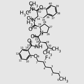 CCCCC[C@@H](F)COc1ccccc1C(=O)N[C@H](CC(C)C)C(=O)N1CCC[C@@H]1C(=O)N(C)[C@@H](Cc1ccccc1)C(=O)N(C)C